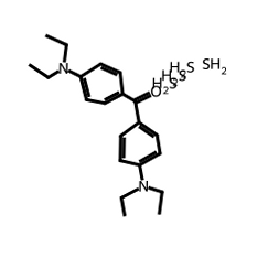 CCN(CC)c1ccc(C(=O)c2ccc(N(CC)CC)cc2)cc1.S.S.S.S